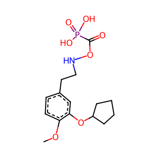 COc1ccc(CCNOC(=O)P(=O)(O)O)cc1OC1CCCC1